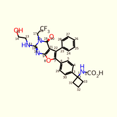 O=C(O)NC1(c2ccc(-c3oc4nc(NCCO)n(CC(F)(F)F)c(=O)c4c3-c3ccccc3)cc2)CCC1